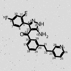 Nc1[nH]nc(-c2ccc(F)cc2F)c1C(=O)c1cccc(CCc2cccnc2)c1